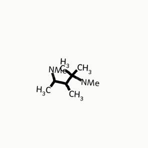 CNC(C)C(C)C(C)(C)NC